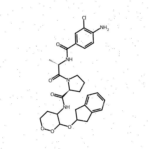 C[C@H](NC(=O)c1ccc(N)c(Cl)c1)C(=O)N1CCC[C@H]1C(=O)NC1CCOOC1OC1Cc2ccccc2C1